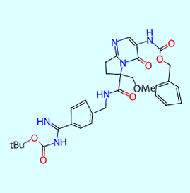 COCC1(C(=O)NCc2ccc(C(=N)NC(=O)OC(C)(C)C)cc2)CCc2ncc(NC(=O)OCc3ccccc3)c(=O)n21